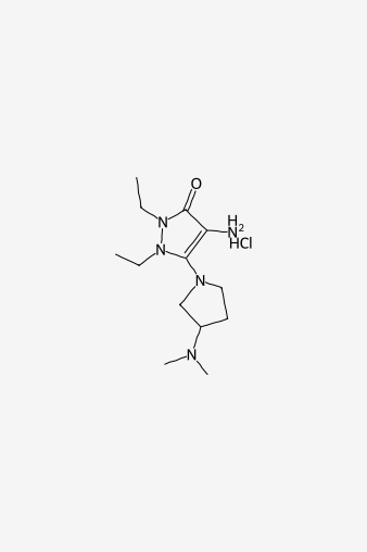 CCn1c(N2CCC(N(C)C)C2)c(N)c(=O)n1CC.Cl